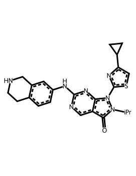 CC(C)n1c(=O)c2cnc(Nc3ccc4c(c3)CNCC4)nc2n1-c1nc(C2CC2)cs1